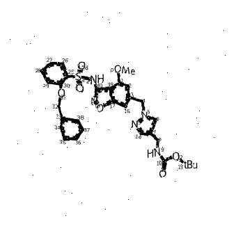 COc1cc(Cn2cc(CNC(=O)OC(C)(C)C)cn2)cc2onc(NS(=O)(=O)c3ccccc3OCc3ccccc3)c12